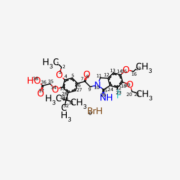 Br.CCOc1cc(C(=O)CN2Cc3cc(OCC)c(OCC)c(F)c3C2=N)cc(C(C)(C)C)c1OCC(=O)O